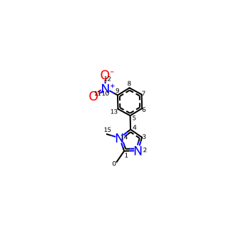 Cc1ncc(-c2cccc([N+](=O)[O-])c2)n1C